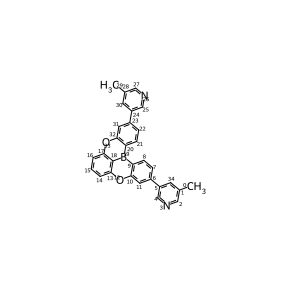 Cc1cncc(-c2ccc3c(c2)Oc2cccc4c2B3c2ccc(-c3cncc(C)c3)cc2O4)c1